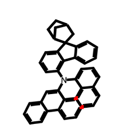 c1ccc2c(c1)-c1c(N(c3cccc4ccccc34)c3cc4ccccc4c4ccccc34)cccc1C21CC2CCC1C2